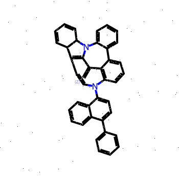 C=C1C2=C3/C=C\N(c4ccc(-c5ccccc5)c5ccccc45)c4cccc(c41)-c1ccccc1N2C1C=CC=CC31